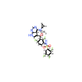 CN(c1ncnc2[nH]cc(C(=O)c3c(F)ccc(NS(=O)(=O)c4cc(F)c(F)cc4F)c3F)c12)C1CC1